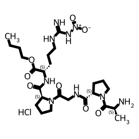 CCCCOC(=O)[C@H](CCCNC(=N)N[N+](=O)[O-])NC(=O)[C@@H]1CCCN1C(=O)CNC(=O)[C@@H]1CCCN1C(=O)[C@H](C)N.Cl